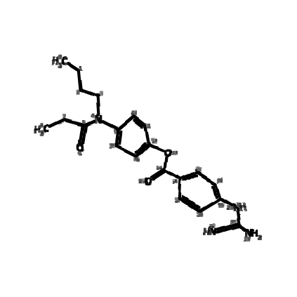 CCCCN(C(=O)CC)c1ccc(OC(=O)c2ccc(NC(=N)N)cc2)cc1